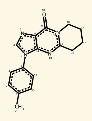 Cc1ccc(-n2cnc3c(=O)n4c(nc32)CCCC4)cc1